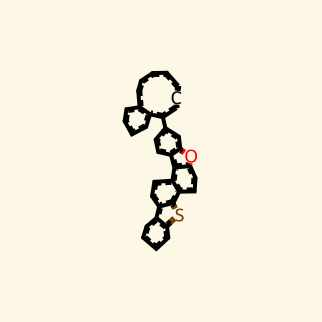 c1cccc(-c2ccc3c(c2)oc2ccc4c(ccc5c6ccccc6sc54)c23)c2ccccc2ccc1